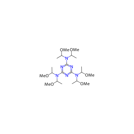 COC(C)N(c1nc(N(C(C)OC)C(C)OC)nc(N(C(C)OC)C(C)OC)n1)C(C)OC